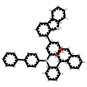 c1ccc(-c2ccc(N(c3cccc(-c4cccc5c4sc4ccccc45)c3)c3ccccc3-c3cccc4ccccc34)cc2)cc1